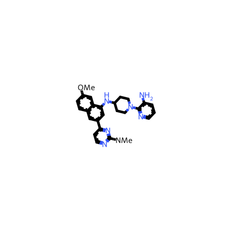 CNc1nccc(-c2cc(NC3CCN(c4ncccc4N)CC3)c3cc(OC)ccc3c2)n1